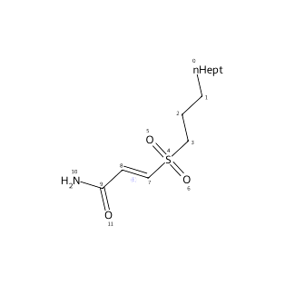 CCCCCCCCCCS(=O)(=O)/C=C/C(N)=O